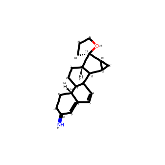 CC[C@]12CCC3C(C=CC4=CC(=N)CC[C@@H]43)C1C1CC1[C@@]21CCCO1